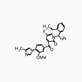 C=Cc1ccccc1C(CCC)n1cc(F)cc(C(=O)c2ccc(-n3cnc(C)c3)c(OC)c2)c1=O